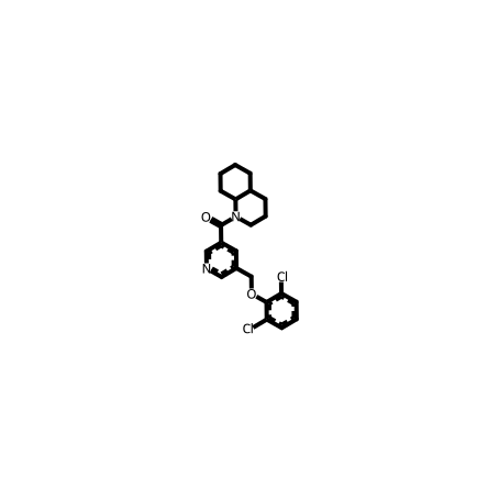 O=C(c1cncc(COc2c(Cl)cccc2Cl)c1)N1CCCC2CCCCC21